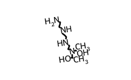 CC(O)N(CCNCCNCCN)C(C)O